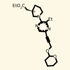 CCOC(=O)C[C@H]1CCCN(c2ncc(C#CCOC3CCCCO3)nc2CC)C1